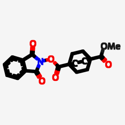 COC(=O)C12CCC(C(=O)ON3C(=O)c4ccccc4C3=O)(CC1)CC2